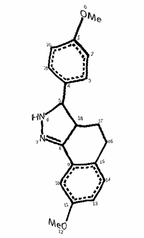 COc1ccc(C2NN=C3c4cc(OC)ccc4CCC32)cc1